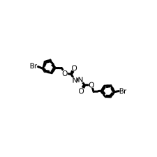 O=C(N=NC(=O)OCc1ccc(Br)cc1)OCc1ccc(Br)cc1